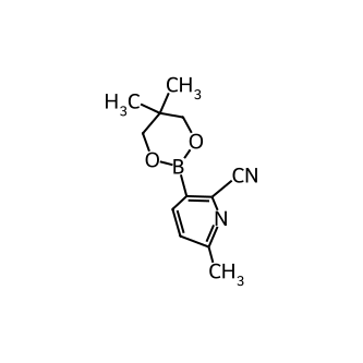 Cc1ccc(B2OCC(C)(C)CO2)c(C#N)n1